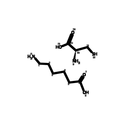 NCCCCCC(=O)O.N[C@@H](CS)C(=O)O